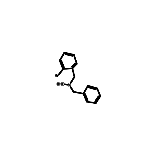 O=CN(Cc1ccccc1)Cc1ccccc1Br